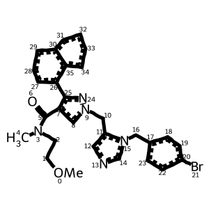 COCCN(C)C(=O)c1cn(Cc2cncn2Cc2ccc(Br)cc2)nc1-c1cccc2ccccc12